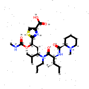 CCCN(C(=O)[C@@H](NC(=O)[C@H]1CCCCN1C)[C@@H](C)CC)[C@H](C[C@@H](OC(=O)NC)c1nc(C(=O)O)cs1)C(C)C